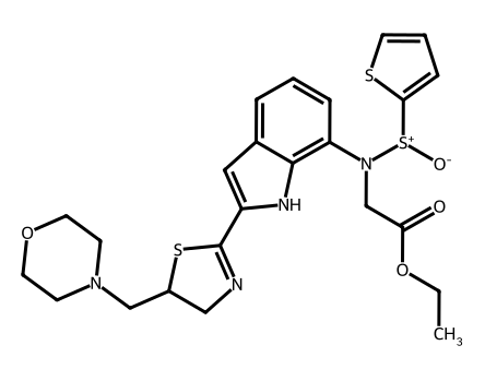 CCOC(=O)CN(c1cccc2cc(C3=NCC(CN4CCOCC4)S3)[nH]c12)[S+]([O-])c1cccs1